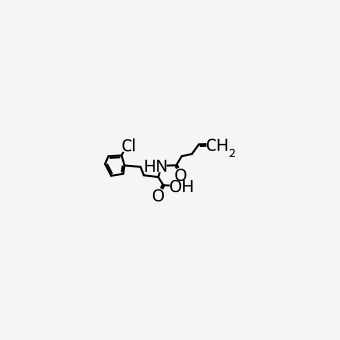 C=CCCC(=O)NC(CCc1ccccc1Cl)C(=O)O